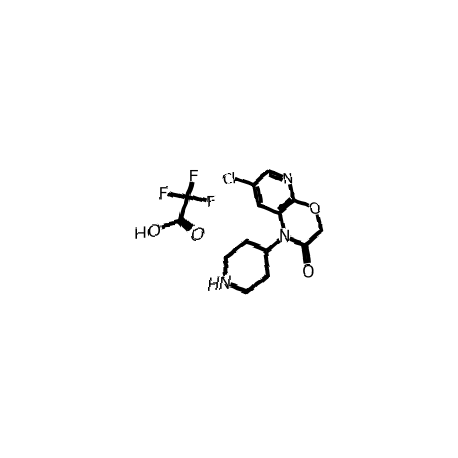 O=C(O)C(F)(F)F.O=C1COc2ncc(Cl)cc2N1C1CCNCC1